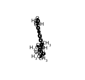 Cc1cc(Nc2ncc(Cl)c(Nc3ncccc3S(=O)(=O)C(C)C)n2)c(OC(C)C)cc1C1CCN(C2CCN(C3CN(c4ccc(C(=O)NC5CCC(=O)NC5=O)cc4)C3)CC2)CC1